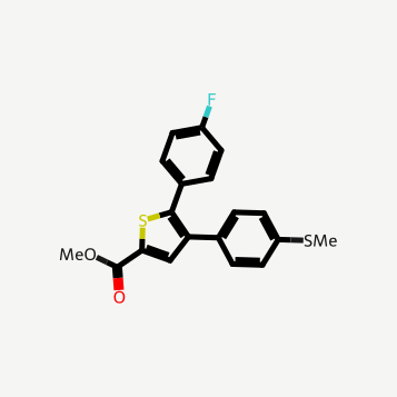 COC(=O)c1cc(-c2ccc(SC)cc2)c(-c2ccc(F)cc2)s1